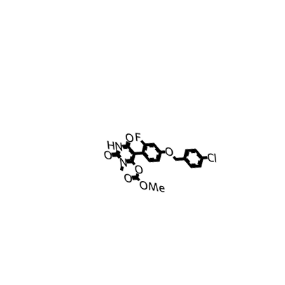 COC(=O)Oc1c(-c2ccc(OCc3ccc(Cl)cc3)cc2F)c(=O)[nH]c(=O)n1C